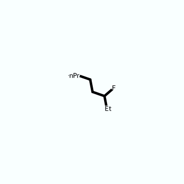 CC[CH]CCC(F)CC